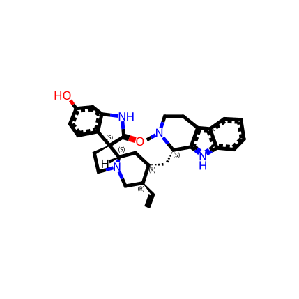 C=C[C@H]1CN2CC[C@@]3(C(=O)Nc4cc(O)ccc43)[C@@H]2C[C@@H]1C[C@H]1c2[nH]c3ccccc3c2CCN1C